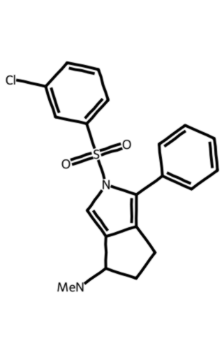 CNC1CCc2c1cn(S(=O)(=O)c1cccc(Cl)c1)c2-c1ccccc1